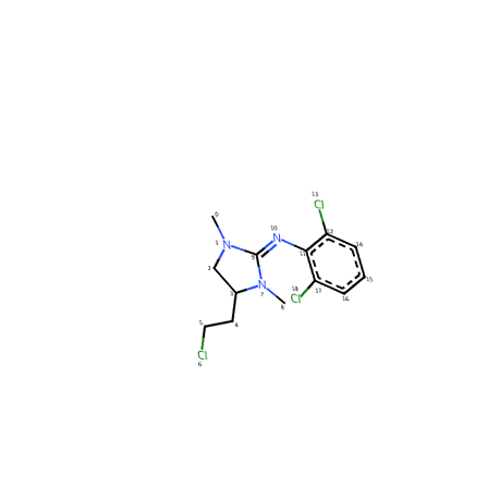 CN1CC(CCCl)N(C)/C1=N\c1c(Cl)cccc1Cl